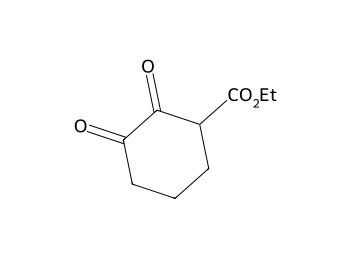 CCOC(=O)C1CCCC(=O)C1=O